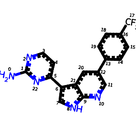 Nc1nccc(-c2c[nH]c3ncc(-c4ccc(C(F)(F)F)cc4)cc23)n1